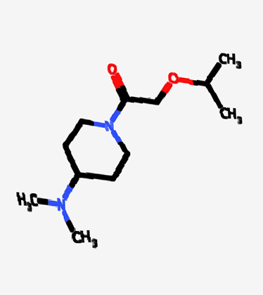 CC(C)OCC(=O)N1CCC(N(C)C)CC1